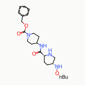 CCCCON[C@@H]1CC[C@@H](C(=O)NC2CCN(C(=O)OCc3ccccc3)CC2)NC1